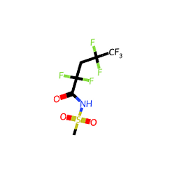 CS(=O)(=O)NC(=O)C(F)(F)CC(F)(F)C(F)(F)F